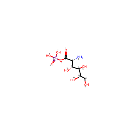 N[C@@H](C(=O)OP(=O)(O)O)[C@@H](O)[C@@H](O)[C@H](O)CO